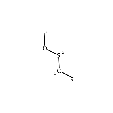 COSOC